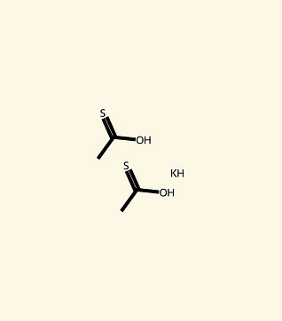 CC(O)=S.CC(O)=S.[KH]